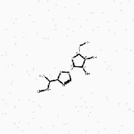 NC(NCl)C1N=CN([C@@H]2O[C@H](CO)[C@@H](O)[C@H]2O)N1